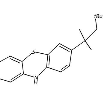 CC(C)(C)CC(C)(C)c1ccc2c(c1)Sc1ccccc1N2